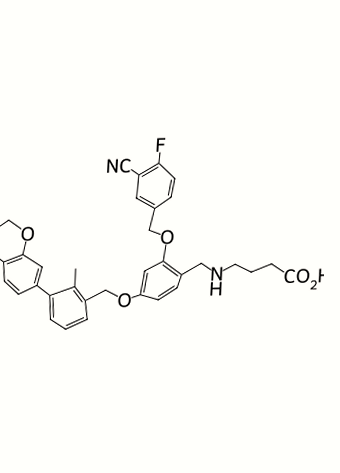 Cc1c(COc2ccc(CNCCCC(=O)O)c(OCc3ccc(F)c(C#N)c3)c2)cccc1-c1ccc2c(c1)OCCO2